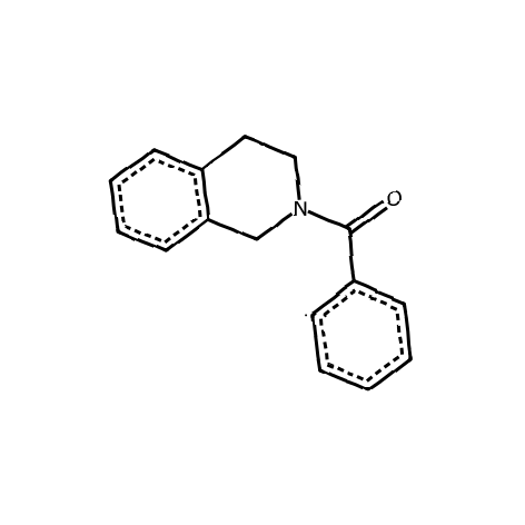 O=C(c1[c]cccc1)N1CCc2ccccc2C1